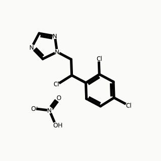 Clc1ccc(C(Cl)Cn2cncn2)c(Cl)c1.O=[N+]([O-])O